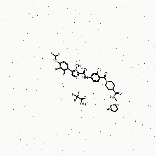 Cn1c(-c2ccc(OC(F)F)c(F)c2F)cnc1C(=O)Nc1ccc(C(=O)N2CCC(C(=O)NC[C@@H]3CCNC3)CC2)c(Cl)c1.O=C(O)C(F)(F)F